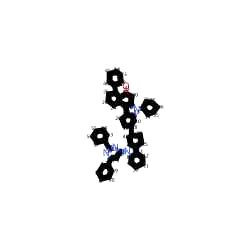 c1ccc(-c2cc(-n3c4ccccc4c4ccc(-c5ccc6c7c8cccc9c8c(cc7n(-c7ccccc7)c6c5)Oc5ccccc5-9)cc43)nc(-c3ccccc3)n2)cc1